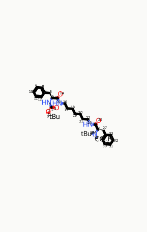 CC(C)(C)OC(=O)N[C@@H](Cc1ccccc1)C(=O)NCCCCCCCNC(=O)[C@H](Cc1ccccc1)N(C(=O)O)C(C)(C)C